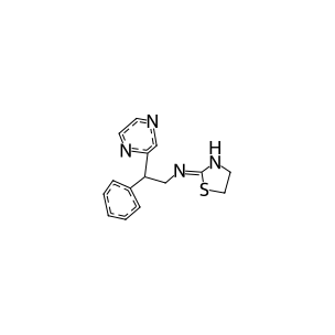 c1ccc(C(CN=C2NCCS2)c2cnccn2)cc1